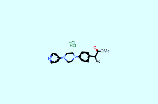 COC(=O)C(C(C)=O)c1ccc(N2CCN(c3ccncc3)CC2)cc1.Cl.Cl